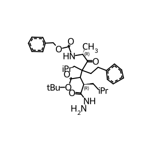 CC(C)C[C@@H](C(=O)NN)C(C(=O)OC(C)(C)C)C(CCc1ccccc1)(CC(C)C)C(=O)[C@@H](C)NC(=O)OCc1ccccc1